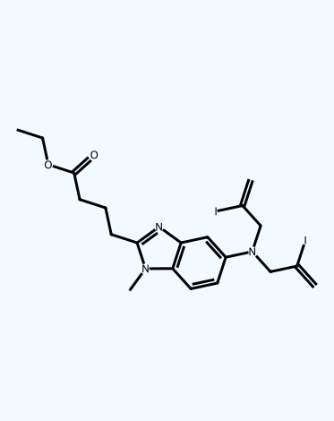 C=C(I)CN(CC(=C)I)c1ccc2c(c1)nc(CCCC(=O)OCC)n2C